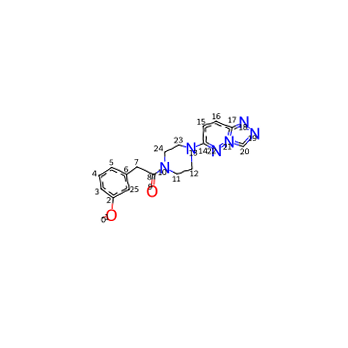 COc1cccc(CC(=O)N2CCN(c3ccc4nncn4n3)CC2)c1